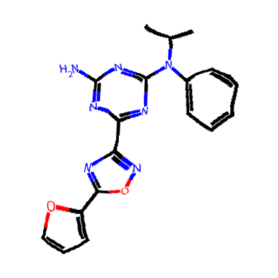 CC(C)N(c1ccccc1)c1nc(N)nc(-c2noc(-c3ccco3)n2)n1